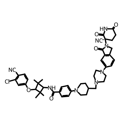 CC1(C)C(NC(=O)c2ccc(N3CCC(CN4CCN(c5ccc6c(c5)C(=O)N([C@]5(C#N)CCC(=O)NC5=O)C6)CC4)CC3)cc2)C(C)(C)C1Oc1ccc(C#N)c(Cl)c1